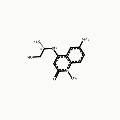 C[C@@H](CO)Nc1cc(=O)n(C)c2ccc(N)cc12